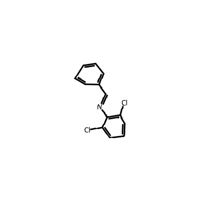 Clc1cccc(Cl)c1/N=C/c1ccccc1